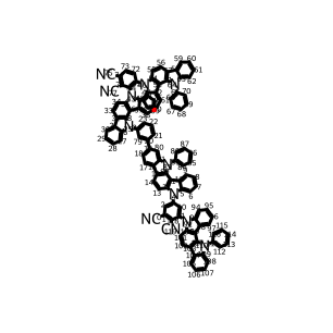 N#Cc1cc(-n2c3ccccc3c3c2ccc2c4ccc(-c5cccc(-n6c7ccccc7c7ccc8c(c9ccccc9n8-c8c(-n9c%10ccccc%10c%10c9ccc9c%11ccccc%11n(-c%11ccccc%11)c9%10)ccc(C#N)c8C#N)c76)c5)cc4n(-c4ccccc4)c23)cc(-n2c3ccccc3c3c2ccc2c4ccccc4n(-c4ccccc4)c23)c1C#N